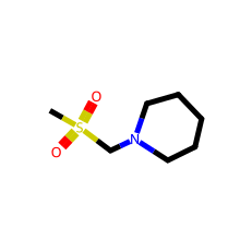 CS(=O)(=O)CN1CCCCC1